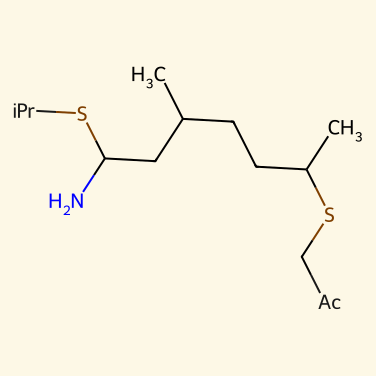 CC(=O)CSC(C)CCC(C)CC(N)SC(C)C